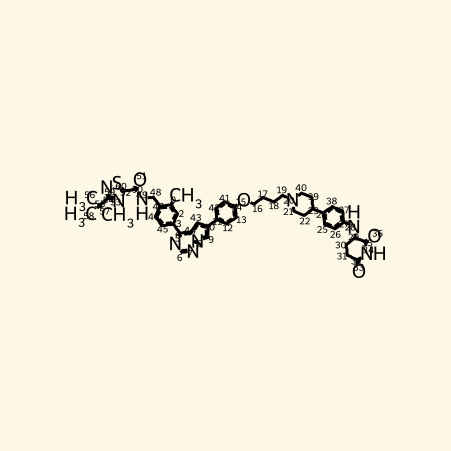 Cc1cc(-c2ncnn3cc(-c4ccc(OCCCCN5CCC(c6ccc(NC7CCC(=O)NC7=O)cc6)CC5)cc4)cc23)ccc1CNC(=O)c1nc(C(C)(C)C)ns1